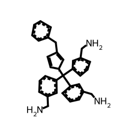 NCc1cccc(C([C]2C=CC(Cc3ccccc3)=C2)(c2cccc(CN)c2)c2cccc(CN)c2)c1